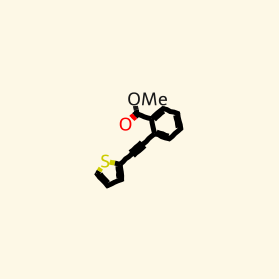 COC(=O)c1ccccc1C#Cc1cccs1